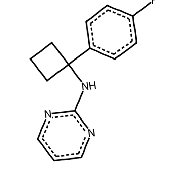 Fc1ccc(C2(Nc3ncccn3)CCC2)cc1